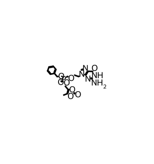 Cc1oc(=O)oc1COP(=O)(COCCn1cnc2c(=O)[nH]c(N)nc21)OCc1ccccc1